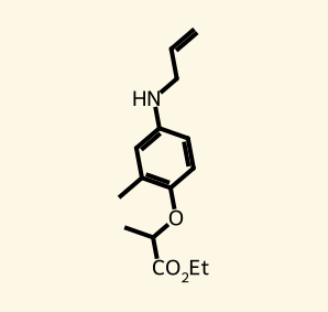 C=CCNc1ccc(OC(C)C(=O)OCC)c(C)c1